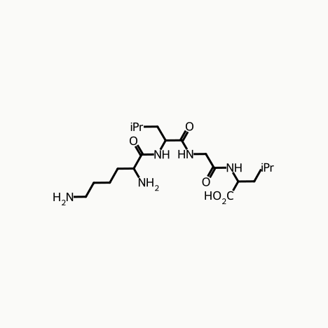 CC(C)CC(NC(=O)CNC(=O)C(CC(C)C)NC(=O)C(N)CCCCN)C(=O)O